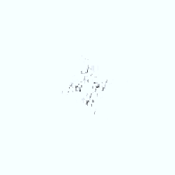 Cc1ccc(NC(=O)Nc2ccccc2C2=C3C=CC(=N3)C(c3ccccc3NC(=O)Nc3ccc(C)cc3)=C3C=CC(=N3)C(c3ccccc3NC(=O)Nc3ccc(C)cc3)=C3C=CC(=N3)C(c3ccccc3NC(=O)Nc3ccc(C)cc3)=C3C=CC2=N3)cc1